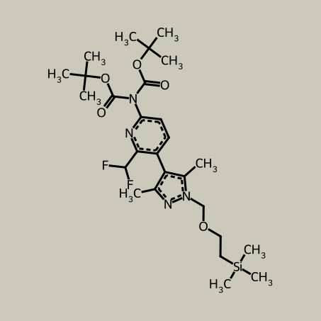 Cc1nn(COCC[Si](C)(C)C)c(C)c1-c1ccc(N(C(=O)OC(C)(C)C)C(=O)OC(C)(C)C)nc1C(F)F